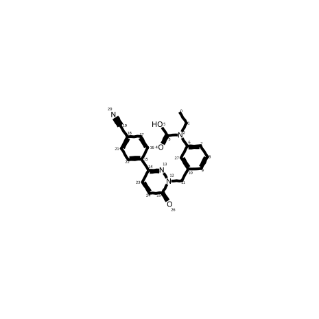 CCN(C(=O)O)c1cccc(Cn2nc(-c3ccc(C#N)cc3)ccc2=O)c1